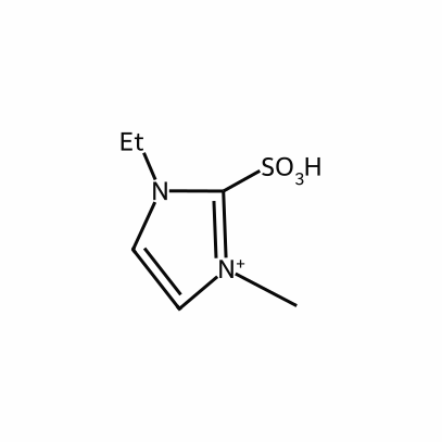 CCn1cc[n+](C)c1S(=O)(=O)O